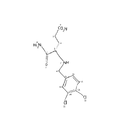 NC(=O)[C@H](CCC(=O)O)NCc1ccc(Cl)c(Cl)c1